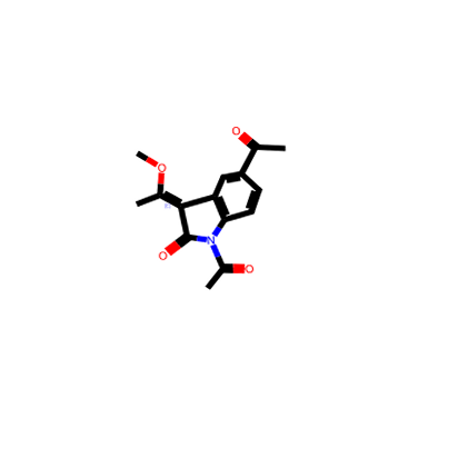 CO/C(C)=C1/C(=O)N(C(C)=O)c2ccc(C(C)=O)cc21